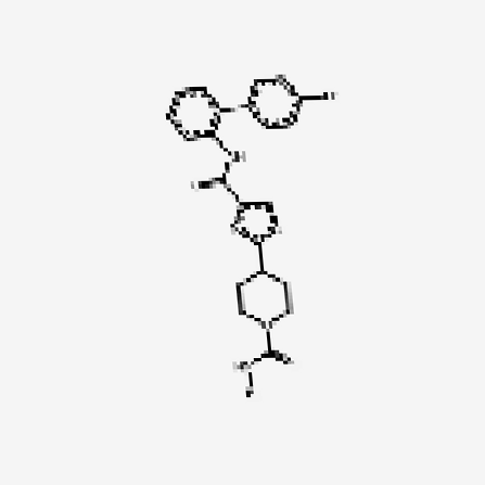 CCNC(=O)N1CCC(c2nc(C(=O)Nc3ccccc3-c3ccc(CC)cc3)cs2)CC1